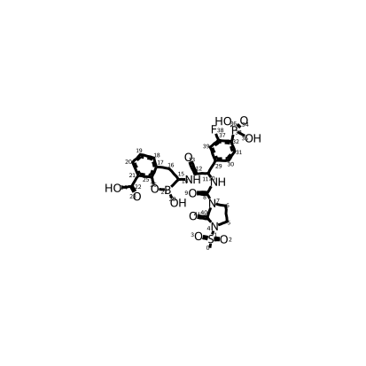 CS(=O)(=O)N1CCN(C(=O)NC(C(=O)NC2Cc3cccc(C(=O)O)c3OB2O)c2ccc(P(=O)(O)O)c(F)c2)C1=O